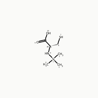 C[Si](C)(C)N[C@@H](CS)C(=O)O